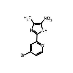 Cc1nc(-c2cc(Br)ccn2)[nH]c1[N+](=O)[O-]